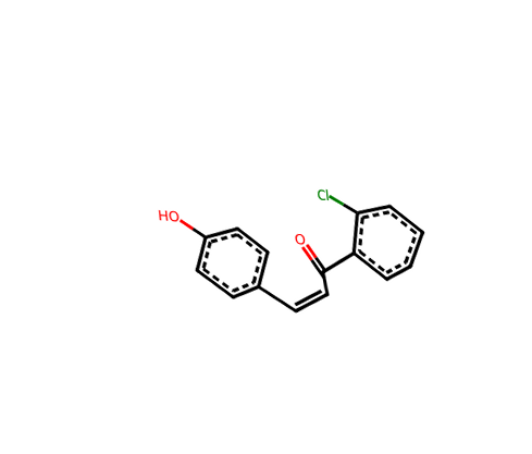 O=C(/C=C\c1ccc(O)cc1)c1ccccc1Cl